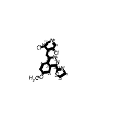 COc1ccc2c(Cc3c(Cl)cncc3Cl)nnc(-c3nccs3)c2c1